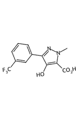 Cn1nc(-c2cccc(C(F)(F)F)c2)c(O)c1C(=O)O